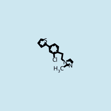 Cc1nccn1CCc1ccc(-c2cccs2)cc1Cl